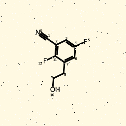 N#Cc1cc(F)cc(CCO)c1F